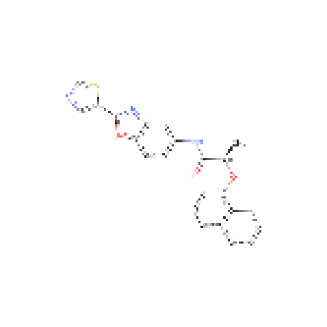 C[C@@H](Oc1cccc2ccccc12)C(=O)Nc1ccc2oc(-c3cncs3)nc2c1